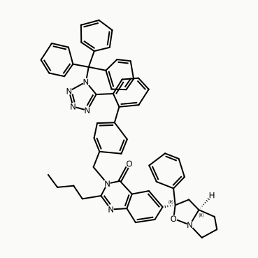 CCCCc1nc2ccc([C@]3(c4ccccc4)C[C@H]4CCCN4O3)cc2c(=O)n1Cc1ccc(-c2ccccc2-c2nnnn2C(c2ccccc2)(c2ccccc2)c2ccccc2)cc1